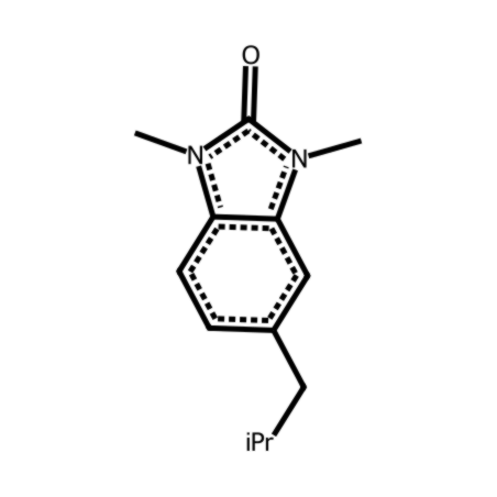 CC(C)Cc1ccc2c(c1)n(C)c(=O)n2C